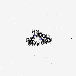 CCCCC[C@@H](/C=C/[C@@H]1[C@@H](C/C=C\CCCC(=O)OC)[C@@H](O)C[C@H]1O)OC1CCCCO1